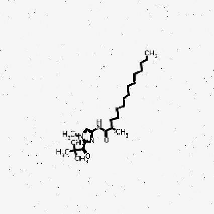 CCCCCCCCCCCCCC(C)C(=O)Nc1cn(C)c(C(=O)C(C)(C)C)n1